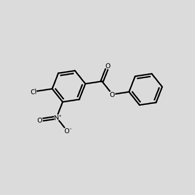 O=C(Oc1ccccc1)c1ccc(Cl)c([N+](=O)[O-])c1